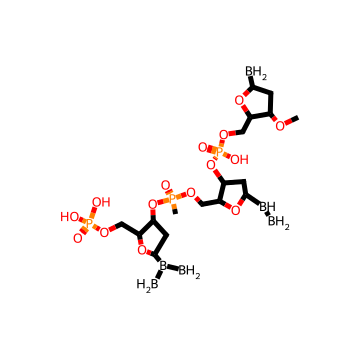 BBC1CC(OP(=O)(O)OCC2OC(B)CC2OC)C(COP(C)(=O)OC2CC(B(B)B)OC2COP(=O)(O)O)O1